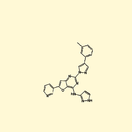 Cc1cccc(-c2cnn(-c3nc(Nc4cc[nH]n4)c4oc(-c5cccnc5)cc4n3)c2)c1